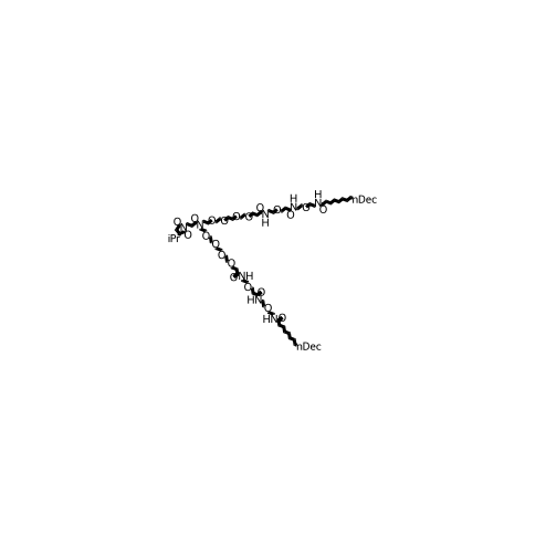 CCCCCCCCCCCCCCCCCC(=O)NCCOCCNC(=O)CCOCCNC(=O)CCOCCOCCOCCOCCN(CCOCCOCCOCCOCCC(=O)NCCOCCC(=O)NCCOCCNC(=O)CCCCCCCCCCCCCCCCC)C(=O)CCN1C(=O)CC(C(C)C)C1=O